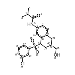 CC(C)C(=O)Nc1ccc2c(c1)C(S(=O)(=O)c1cccc(Cl)c1)C[C@H](CO)C2